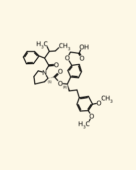 CCC(C)C(C(=O)N1CCCC[C@H]1C(=O)O[C@H](CCc1ccc(OC)c(OC)c1)c1cccc(OCC(=O)O)c1)c1ccccc1